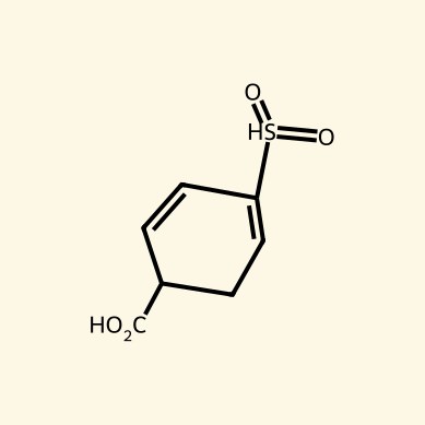 O=C(O)C1C=CC([SH](=O)=O)=CC1